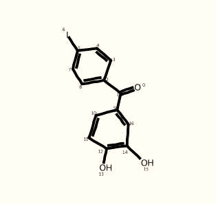 O=C(c1ccc(I)cc1)c1ccc(O)c(O)c1